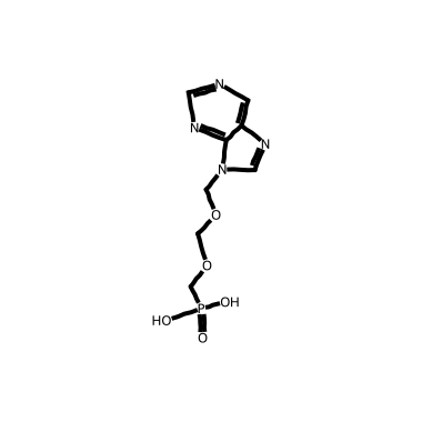 O=P(O)(O)COCOCn1cnc2cncnc21